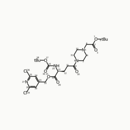 CC(C)(C)OC(=O)CN1CCN(C(=O)CC[C@H](NC(=O)OC(C)(C)C)C(=O)OCc2cc(Cl)nc(Cl)c2)CC1